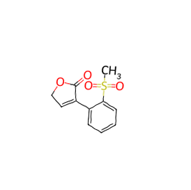 CS(=O)(=O)c1ccccc1C1=CCOC1=O